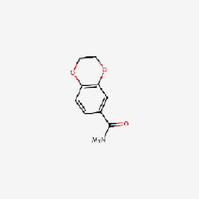 CNC(=O)c1ccc2c(c1)OCCO2